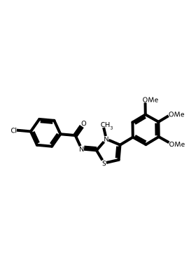 COc1cc(-c2csc(=NC(=O)c3ccc(Cl)cc3)n2C)cc(OC)c1OC